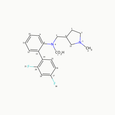 CN1CCC(CN(C(=O)O)c2ccccc2-c2ccc(F)cc2F)C1